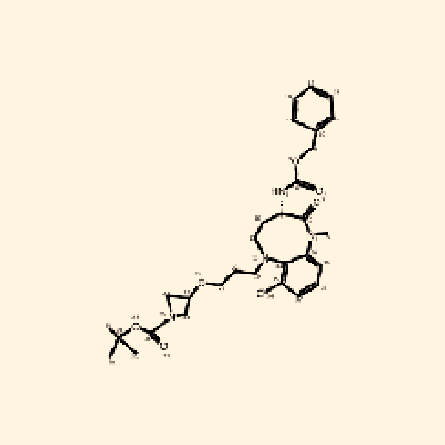 CN1C(=O)[C@@H](NC(=O)OCc2ccccc2)CCN(CCCOC2CN(C(=O)OC(C)(C)C)C2)c2c(Cl)cccc21